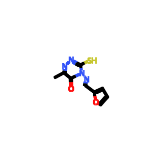 Cc1nnc(S)n(N=Cc2ccco2)c1=O